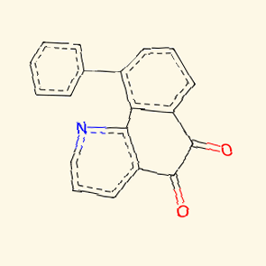 O=C1C(=O)c2cccc(-c3ccccc3)c2-c2ncccc21